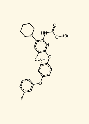 CC(C)(C)OC(=O)Nc1nc(Oc2ccc(Oc3cccc(F)c3)cc2)c(C(=O)O)cc1N1CCCCC1